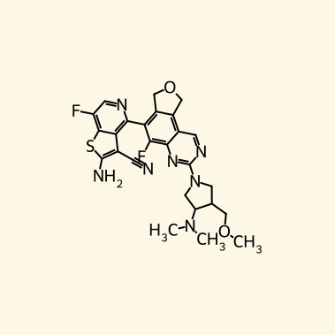 COCC1CN(c2ncc3c4c(c(-c5ncc(F)c6sc(N)c(C#N)c56)c(F)c3n2)COC4)CC1N(C)C